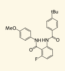 COc1ccc(NC(=O)c2c(F)cccc2NC(=O)c2ccc(C(C)(C)C)cc2)cc1